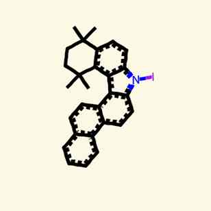 CC1(C)CCC(C)(C)c2c1ccc1c2c2c3ccc4ccccc4c3ccc2n1I